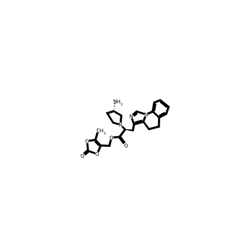 Cc1oc(=O)oc1COC(=O)[C@H](Cc1ncn2c1CCc1ccccc1-2)N1CC[C@H](N)C1